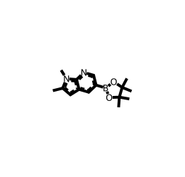 Cc1cc2cc(B3OC(C)(C)C(C)(C)O3)cnc2n1C